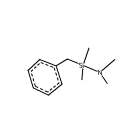 CN(C)[Si](C)(C)Cc1ccccc1